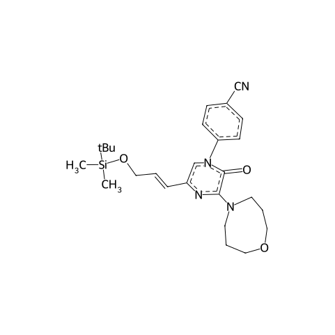 CC(C)(C)[Si](C)(C)OC/C=C/c1cn(-c2ccc(C#N)cc2)c(=O)c(N2CCCOCCC2)n1